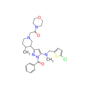 CC1CCN(CC(=O)N2CCOCC2)CC1c1cc(N(C)Cc2ccc(Cl)s2)n(C(=O)c2ccccc2)n1